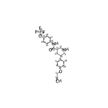 C#CCOc1ccc(C2CNCC(C(=O)Nc3ccc(OC(F)(F)F)cc3)C2)cc1